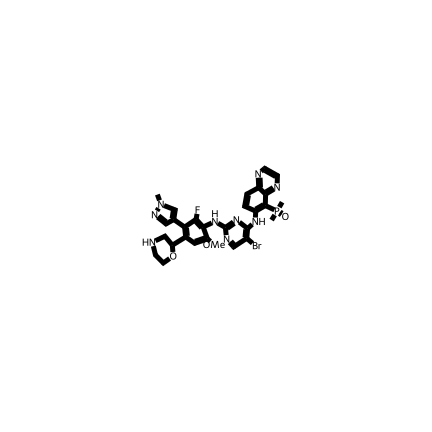 COc1cc(C2CNCCO2)c(-c2cnn(C)c2)c(F)c1Nc1ncc(Br)c(Nc2ccc3nccnc3c2P(C)(C)=O)n1